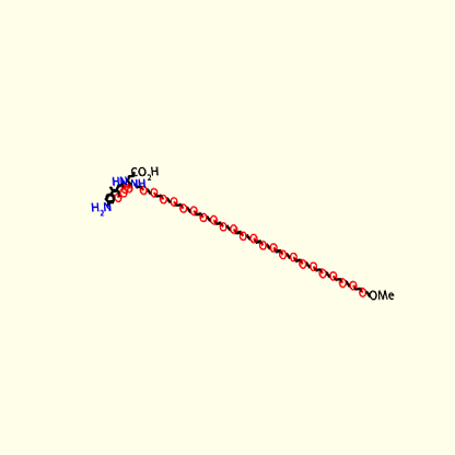 COCCOCCOCCOCCOCCOCCOCCOCCOCCOCCOCCOCCOCCOCCOCCOCCOCCOCCOCCOCCOCCOCCOCCOCCNC(=O)C(CCC(=O)O)NC(=O)Cc1c(C)c2ccc(N)cc2oc1=O